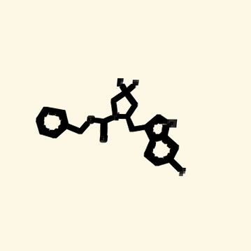 O=C(OCc1ccccc1)N1CC(F)(F)C[C@H]1Cc1c[nH]c2cc(F)ccc12